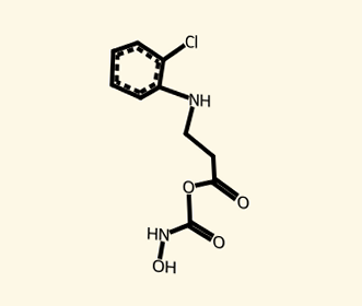 O=C(CCNc1ccccc1Cl)OC(=O)NO